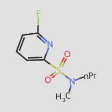 CCCN(C)S(=O)(=O)c1cccc(F)n1